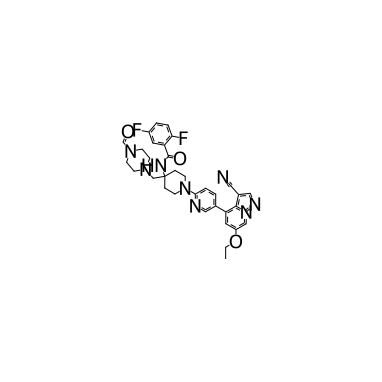 CCOc1cc(-c2ccc(N3CCC(CN4CCN(C=O)CC4)(NC(=O)c4cc(F)ccc4F)CC3)nc2)c2c(C#N)cnn2c1